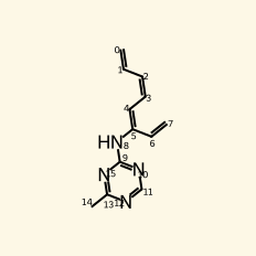 C=C/C=C\C=C(/C=C)Nc1ncnc(C)n1